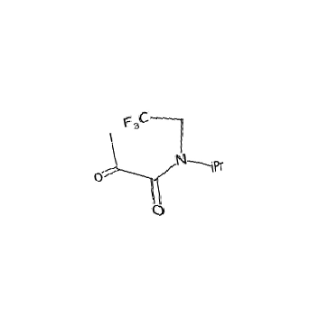 CC(C)N(CC(F)(F)F)C(=O)C(=O)I